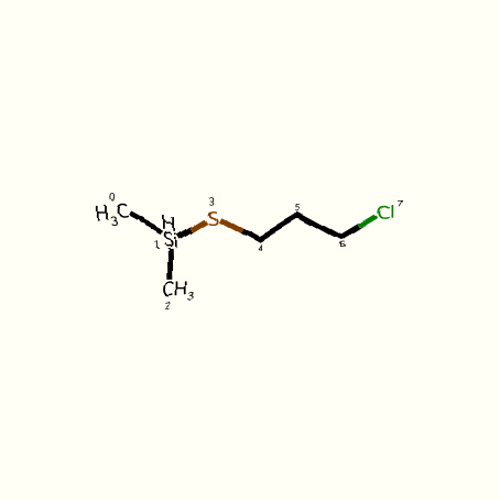 C[SiH](C)SCCCCl